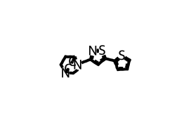 c1csc(-c2cc(N3CCN4CCC3CC4)ns2)c1